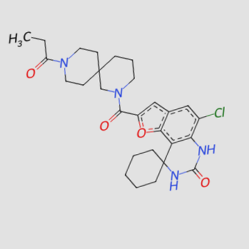 CCC(=O)N1CCC2(CCCN(C(=O)c3cc4cc(Cl)c5c(c4o3)C3(CCCCC3)NC(=O)N5)C2)CC1